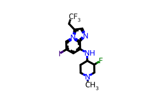 CN1CCC(Nc2cc(I)cn3c(CC(F)(F)F)cnc23)C(F)C1